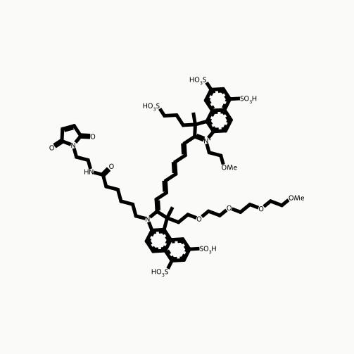 COCCOCCOCCOCCC1(C)\C(=C/C=C/C=C/C=C/C2=[N+](CCOC)c3ccc4c(S(=O)(=O)O)cc(S(=O)(=O)O)cc4c3C2(C)CCCS(=O)(=O)O)N(CCCCCC(=O)NCCN2C(=O)C=CC2=O)c2ccc3c(S(=O)(=O)O)cc(S(=O)(=O)O)cc3c21